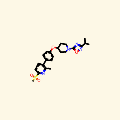 Cc1nc(S(C)(=O)=O)ccc1-c1ccc(OC2CCN(c3nc(C(C)C)no3)CC2)cc1